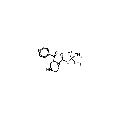 CC(C)(C)OC(=O)N1CCNCC1C(=O)c1ccncc1